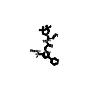 CCC[C@H](C)[C@@H](C)c1cc(-c2ccccc2)nn1CC(=O)N[C@@H](CC(C)C)B1CC(C)(C)C(C)(C)C1